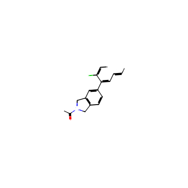 C\C=C(Cl)/C(=C\C=C\CC)c1ccc2c(c1)CN(C(=O)CC)C2